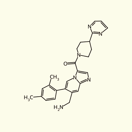 Cc1ccc(-c2cn3c(C(=O)N4CCC(c5ncccn5)CC4)cnc3cc2CN)c(C)c1